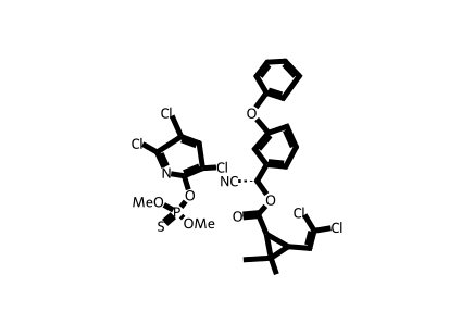 CC1(C)C(C=C(Cl)Cl)C1C(=O)O[C@H](C#N)c1cccc(Oc2ccccc2)c1.COP(=S)(OC)Oc1nc(Cl)c(Cl)cc1Cl